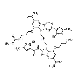 CCn1nc(C)cc1C(=O)Nc1nc2cc(C(N)=O)cc(OCCCOC)c2n1C/C=C/Cn1c2nc(-c3cc(C)nn3CC)ncc2c2cc(C(N)=O)cc(OCCCNC(=O)OC(C)(C)C)c21